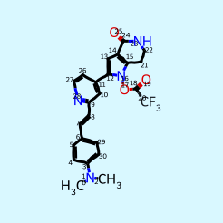 CN(C)c1ccc(C=Cc2cc(-c3cc4c(n3OC(=O)C(F)(F)F)CCNC4=O)ccn2)cc1